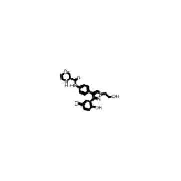 O=C(Nc1ccc(-c2cn(CCO)nc2-c2cc(Cl)ccc2O)cc1)C1COCCN1